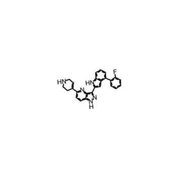 Fc1ccccc1-c1cccc2[nH]c(-c3n[nH]c4ccc(C5=CCNCC5)nc34)cc12